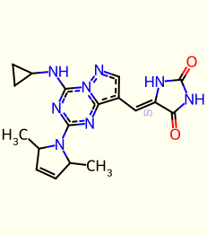 CC1C=CC(C)N1c1nc(NC2CC2)n2ncc(/C=C3\NC(=O)NC3=O)c2n1